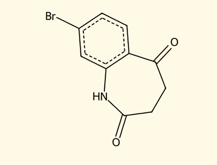 O=C1CCC(=O)c2ccc(Br)cc2N1